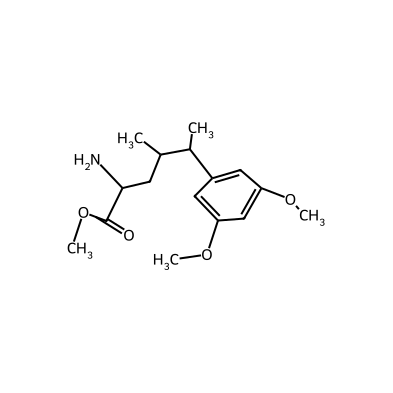 COC(=O)C(N)CC(C)C(C)c1cc(OC)cc(OC)c1